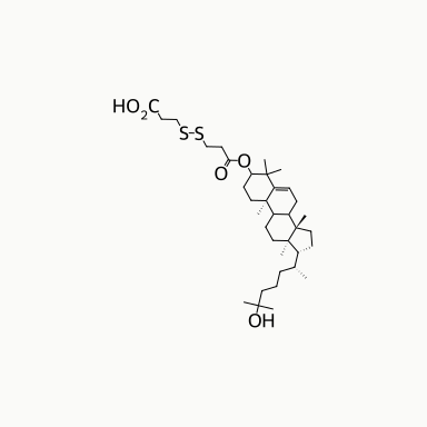 C[C@H](CCCC(C)(C)O)[C@H]1CC[C@@]2(C)C3CC=C4C(C)(C)C(OC(=O)CCSSCCC(=O)O)CC[C@]4(C)C3CC[C@]12C